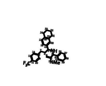 C=C(NC)C(NC(CCc1ccc(C(F)(F)F)cc1)c1ccc2c(c1)CCCC2)c1ccccc1